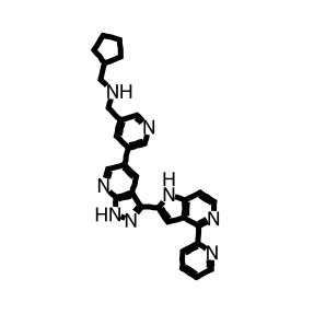 c1ccc(-c2nccc3[nH]c(-c4n[nH]c5ncc(-c6cncc(CNCC7CCCC7)c6)cc45)cc23)nc1